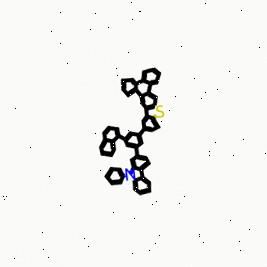 c1ccc(-n2c3ccccc3c3ccc(-c4cc(-c5ccc6sc7cc8c9ccccc9c9ccccc9c8cc7c6c5)cc(-c5cccc6ccccc56)c4)cc32)cc1